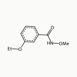 CCOc1cccc(C(=O)NOC)c1